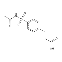 CC(=O)NS(=O)(=O)c1ccc(CCC(=O)O)cc1